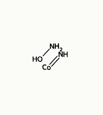 NO.[NH]=[Co]